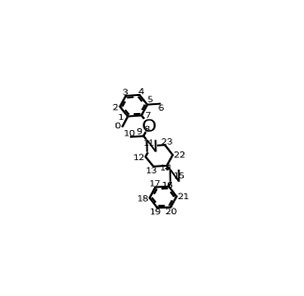 Cc1cccc(C)c1OC(C)N1CCC(=Nc2ccccc2)CC1